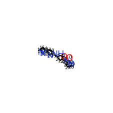 O=C1OC2(CCC(CNc3ccc(-c4cccnn4)cn3)CC2)CN1c1cccnn1